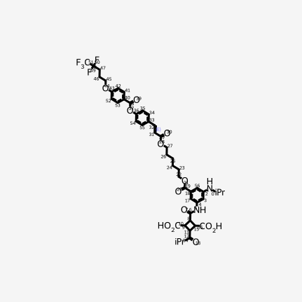 CC(C)Nc1cc(NC(=O)C2C(C(=O)O)C(C(=O)C(C)C)C2C(=O)O)cc(C(=O)OCCCCCCOC(=O)/C=C/c2ccc(OC(=O)c3ccc(OCCCC(F)(F)C(F)(F)F)cc3)cc2)c1